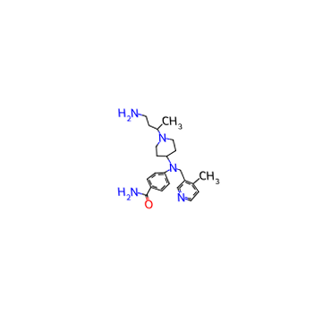 Cc1ccncc1CN(c1ccc(C(N)=O)cc1)C1CCN(C(C)CCN)CC1